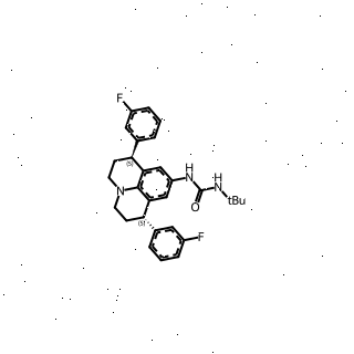 CC(C)(C)NC(=O)Nc1cc2c3c(c1)[C@H](c1cccc(F)c1)CCN3CC[C@H]2c1cccc(F)c1